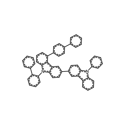 c1ccc(-c2ccc(-c3cccc4c3c3cc(-c5ccc6c(c5)c5ccccc5n6-c5ccccc5)ccc3n4-c3ccccc3-c3ccccc3)cc2)cc1